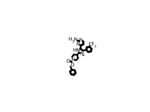 CN1C(c2cccc(C(F)(F)F)c2)=C(c2ccnc(N)n2)NC1C1CCN(C(=O)OCc2ccccc2)CC1